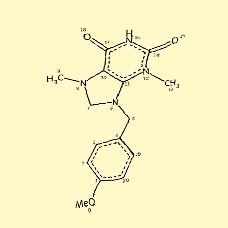 COc1ccc(CN2CN(C)c3c2n(C)c(=O)[nH]c3=O)cc1